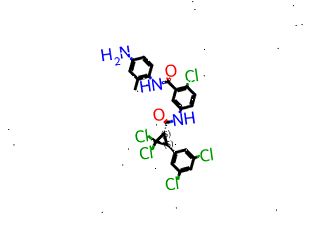 Cc1cc(N)ccc1NC(=O)c1cc(NC(=O)[C@@H]2[C@@H](c3cc(Cl)cc(Cl)c3)C2(Cl)Cl)ccc1Cl